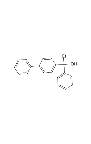 CCC(O)(c1ccccc1)c1ccc(-c2ccccc2)cc1